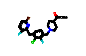 COC(=O)C1CCN(Cc2ccc(Cc3nc(Br)ccc3F)c(Cl)c2F)CC1